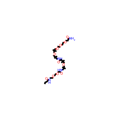 CCCC(=O)NCCOCCOCC(=O)NCC(C)(C)COCC(C)(C)CC(=O)NCC(C)(C)COCC(C)(C)COCCOCCOCCC(N)=O